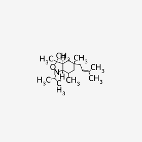 CC(C)=CC[C@]1(C)CC(C)[C@H]2[C@H](C1)C(C)(C)ON2C(C)C